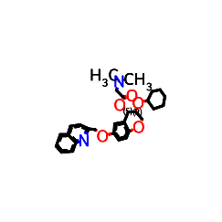 CN(C)CC(=O)O[C@H]1c2cc(OCc3ccc4ccccc4n3)ccc2OC[C@H]1OC1CCCCC1